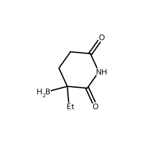 BC1(CC)CCC(=O)NC1=O